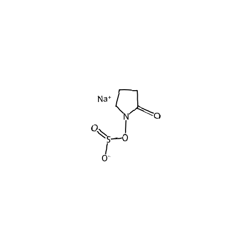 O=C1CCCN1OS(=O)[O-].[Na+]